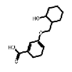 O=C(O)C1=CC(OCC2CCCCC2O)=CCC1